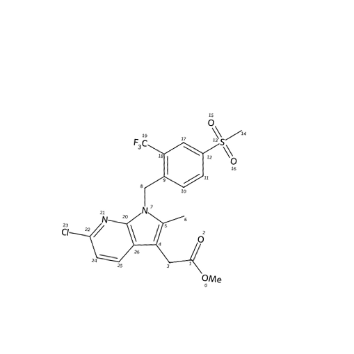 COC(=O)Cc1c(C)n(Cc2ccc(S(C)(=O)=O)cc2C(F)(F)F)c2nc(Cl)ccc12